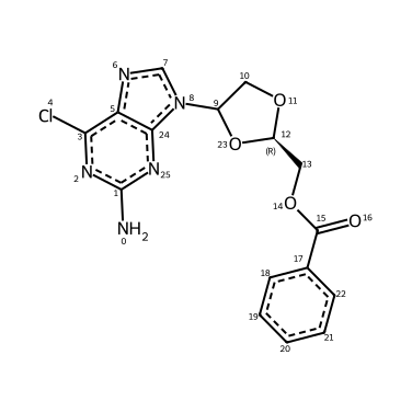 Nc1nc(Cl)c2ncn(C3CO[C@@H](COC(=O)c4ccccc4)O3)c2n1